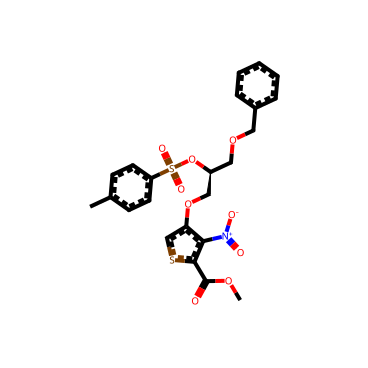 COC(=O)c1scc(OC[C@H](COCc2ccccc2)OS(=O)(=O)c2ccc(C)cc2)c1[N+](=O)[O-]